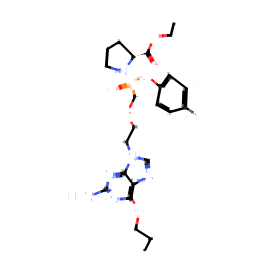 CCCOc1nc(N)nc2c1ncn2CCOCP(=O)(Oc1ccc(Cl)cc1)N1CCC[C@H]1C(=O)OCC